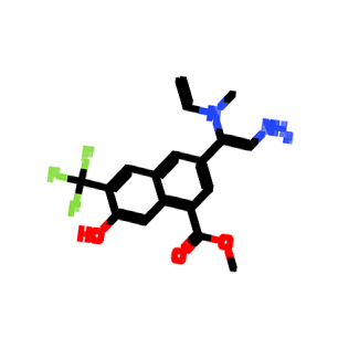 C=CN(C)/C(=C\N)c1cc(C(=O)OC)c2cc(O)c(C(F)(F)F)cc2c1